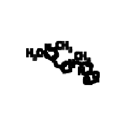 Cc1cc(CC2=CN([C@H](C)c3ccc4c(n3)OCCO4)CC2)cc(C)n1